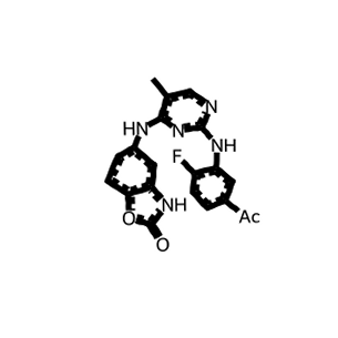 CC(=O)c1ccc(F)c(Nc2ncc(C)c(Nc3ccc4oc(=O)[nH]c4c3)n2)c1